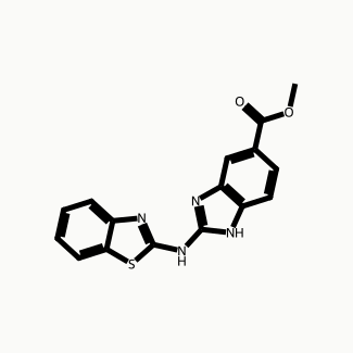 COC(=O)c1ccc2[nH]c(Nc3nc4ccccc4s3)nc2c1